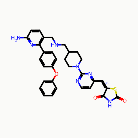 Nc1ccc(CNCC2CCN(c3nccc(/C=C4/SC(=O)NC4=O)n3)CC2)c(-c2ccc(Oc3ccccc3)cc2)n1